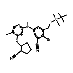 Cc1cnc(Nc2cc(C#N)c(Br)c(CO[Si](C)(C)C(C)(C)C)c2)nc1NC1CCCC1C#N